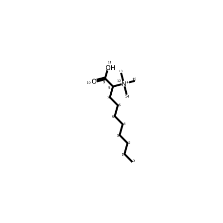 CCCCCCCCC(C(=O)O)[N+](C)(C)C